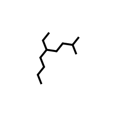 CCCCC(CC)CC[C](C)C